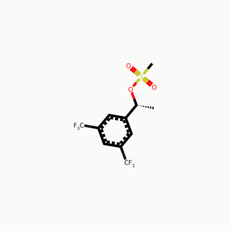 C[C@@H](OS(C)(=O)=O)c1cc(C(F)(F)F)cc(C(F)(F)F)c1